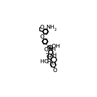 C[C@]12C=CC(=O)C=C1CC[C@@H]1[C@@H]2[C@@H](O)C[C@@]2(C)[C@H]1C[C@H]1O[C@@H](c3ccc(Oc4ccc(N)c5c4CCO5)cc3)O[C@]12C(=O)CO